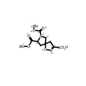 CC(C)(C)OC(=O)C1CC2(CC(C(=O)O)=NO2)CN1C(=O)OC(C)(C)C